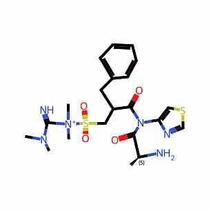 C[C@H](N)C(=O)N(C(=O)C(Cc1ccccc1)CS(=O)(=O)[N+](C)(C)C(=N)N(C)C)c1cscn1